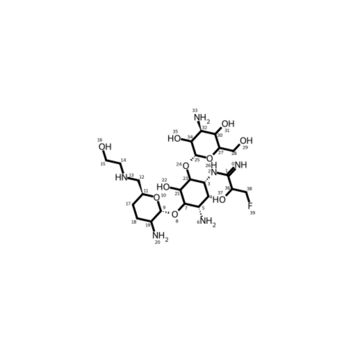 N=C(N[C@@H]1C[C@H](N)C(O[C@H]2O[C@H](CNCCO)CCC2N)C(O)C1O[C@H]1OC(CO)C(O)[C@H](N)C1O)C(O)CF